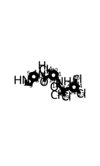 O=C(Nc1ccc2c(c1)CCN2)c1cc(NC(=O)C2C(c3cc(Cl)cc(Cl)c3)C2(Cl)Cl)ccc1Cl